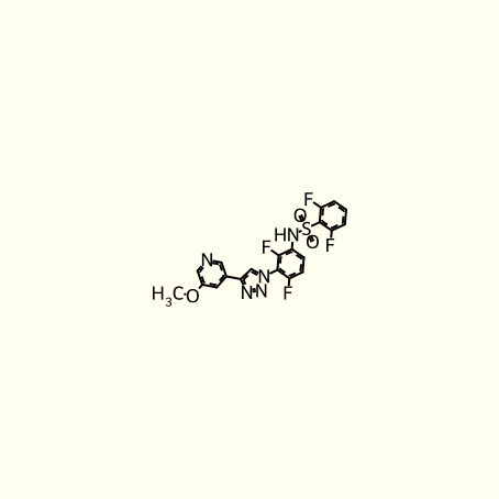 COc1cncc(-c2cn(-c3c(F)ccc(NS(=O)(=O)c4c(F)cccc4F)c3F)nn2)c1